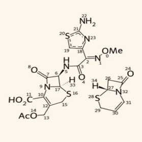 CO/N=C(/C(=O)N[C@@H]1C(=O)N2C(C(=O)O)=C(COC(C)=O)CS[C@H]12)c1csc(N)n1.O=C1C[C@H]2SCC=CN12